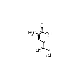 CC(=CCC(Cl)CCl)C(=O)O